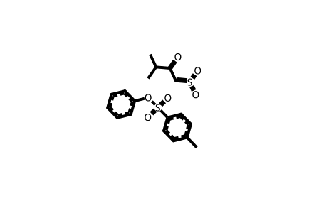 CC(C)C(=O)C=S(=O)=O.Cc1ccc(S(=O)(=O)Oc2ccccc2)cc1